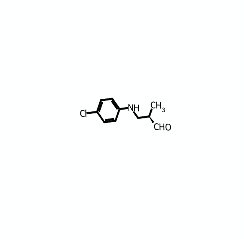 C[C@@H](C=O)CNc1ccc(Cl)cc1